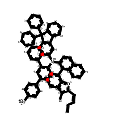 C=C/C=C\c1oc2c(-c3c(N(c4ccc5c(c4)-c4ccccc4C5(c4ccccc4)c4ccccc4)c4ccc(-c5ccc(C(C)(C)C)cc5)cc4-c4ccccc4)ccc4ccccc34)cccc2c1C